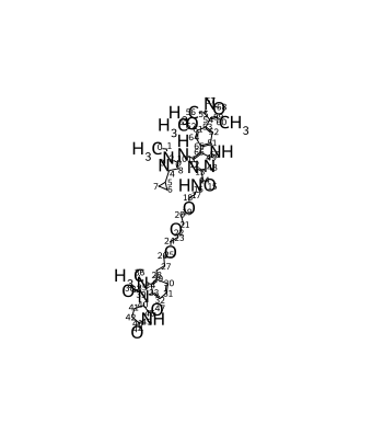 CCn1nc(C2CC2)cc1Nc1nc(C(=O)NCCOCCOCCOCCCc2cccc3c2n(C)c(=O)n3C2CCC(=O)NC2=O)nc2[nH]c3cc(-c4c(C)noc4C)c(OC)cc3c12